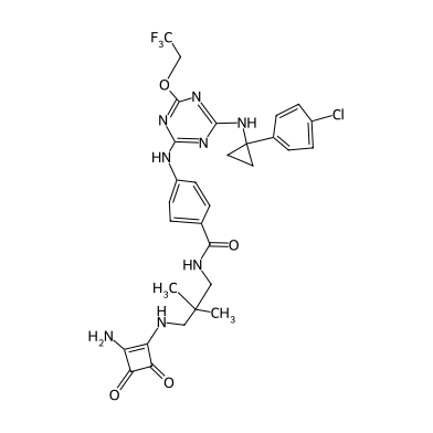 CC(C)(CNC(=O)c1ccc(Nc2nc(NC3(c4ccc(Cl)cc4)CC3)nc(OCC(F)(F)F)n2)cc1)CNc1c(N)c(=O)c1=O